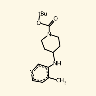 Cc1ccncc1NC1CCN(C(=O)OC(C)(C)C)CC1